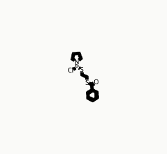 O=C(SCCSP(Cl)N1CCCC1)c1ccccc1